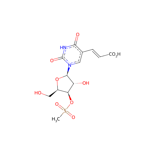 CS(=O)(=O)O[C@@H]1[C@@H](O)[C@H](n2cc(C=CC(=O)O)c(=O)[nH]c2=O)O[C@@H]1CO